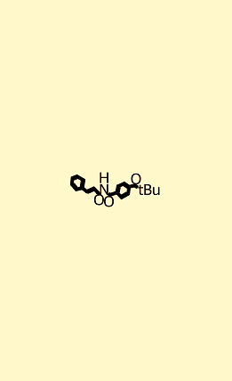 CC(C)(C)C(=O)c1ccc(C(=O)NC(=O)/C=C/c2ccccc2)cc1